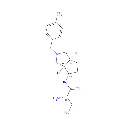 CC(C)(C)C[C@H](N)C(=O)N[C@H]1CC[C@@H]2CN(Cc3ccc(C(F)(F)F)cc3)C[C@@H]21